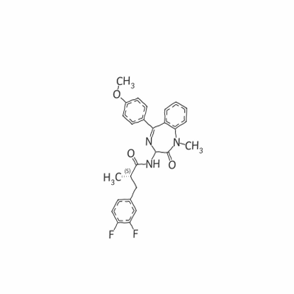 COc1ccc(C2=NC(NC(=O)[C@@H](C)Cc3ccc(F)c(F)c3)C(=O)N(C)c3ccccc32)cc1